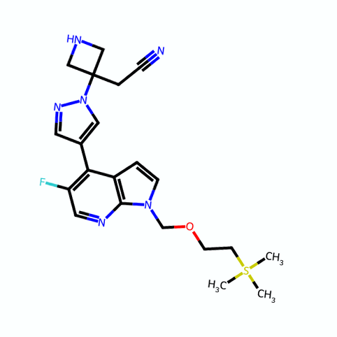 CS(C)(C)CCOCn1ccc2c(-c3cnn(C4(CC#N)CNC4)c3)c(F)cnc21